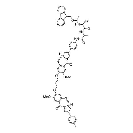 COc1cc2c(cc1OCCCOc1cc3c(cc1OC)C(=O)N1C=C(c4ccc(NC(=O)C(C)NC(=O)[C@@H](NC(=O)OCC5c6ccccc6-c6ccccc65)C(C)C)cc4)C[C@H]1C=N3)N=C[C@@H]1CC(c3ccc(C)cc3)=CN1C2=O